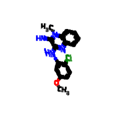 COc1ccc(Cl)c(Nc2nc3ccccc3n(C)c2=N)c1